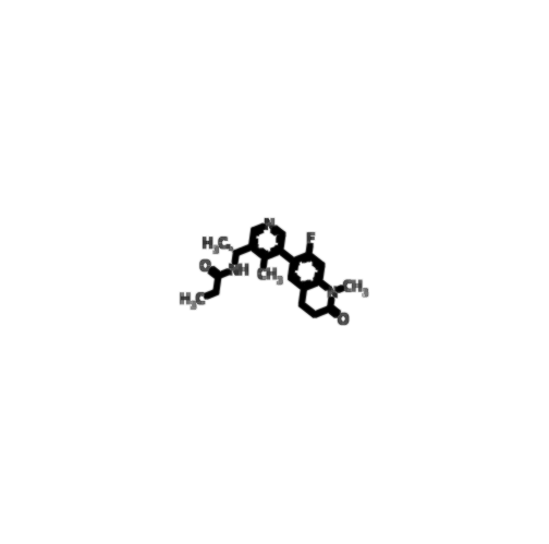 CCC(=O)N[C@H](C)c1cncc(-c2cc3c(cc2F)N(C)C(=O)CC3)c1C